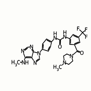 CNc1ncnc2c1ncn2-c1ccc(NC(=O)Nc2cc(C(=O)N3CCN(C)CC3)cc(C(F)(F)F)c2)cc1